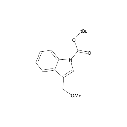 COCc1cn(C(=O)OC(C)(C)C)c2ccccc12